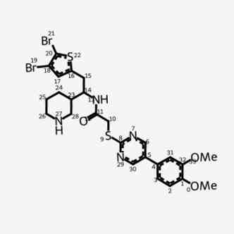 COc1ccc(-c2cnc(SCC(=O)NC(Cc3cc(Br)c(Br)s3)C3CCCNC3)nc2)cc1OC